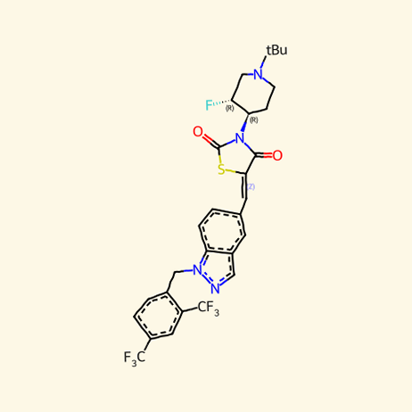 CC(C)(C)N1CC[C@@H](N2C(=O)S/C(=C\c3ccc4c(cnn4Cc4ccc(C(F)(F)F)cc4C(F)(F)F)c3)C2=O)[C@H](F)C1